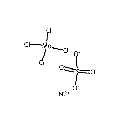 O=S(=O)([O-])[O-].[Cl][Mo]([Cl])([Cl])[Cl].[Ni+2]